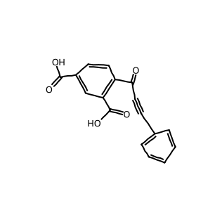 O=C(O)c1ccc(C(=O)C#Cc2ccccc2)c(C(=O)O)c1